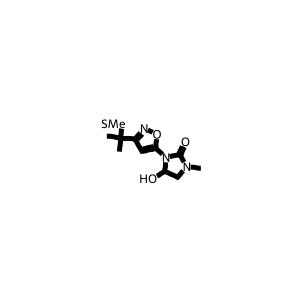 CSC(C)(C)c1cc(N2C(=O)N(C)CC2O)on1